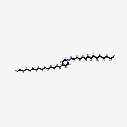 CCCCCCCCCCCCCCCc1cc[n+](CCCCCCCCCCCCCCC)cc1